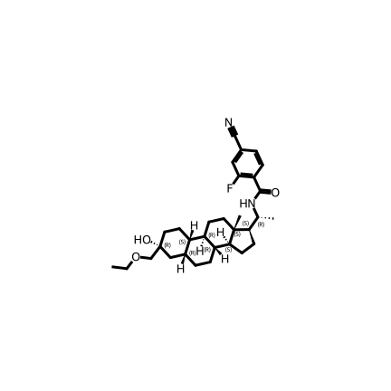 CCOC[C@@]1(O)CC[C@H]2[C@H](CC[C@@H]3[C@@H]2CC[C@]2(C)[C@@H]([C@@H](C)NC(=O)c4ccc(C#N)cc4F)CC[C@@H]32)C1